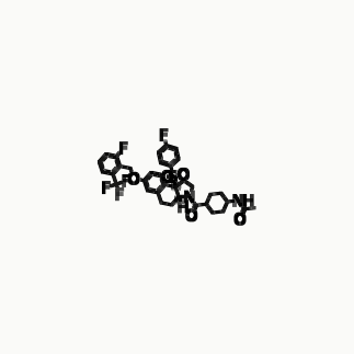 CC(=O)NC1CCC(C(=O)N2CC[C@@]3(S(=O)(=O)c4ccc(F)cc4)c4ccc(OCc5c(F)cccc5C(F)(F)F)cc4CC[C@@H]23)CC1